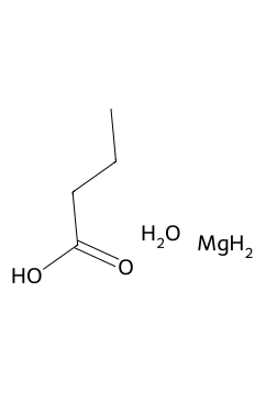 CCCC(=O)O.O.[MgH2]